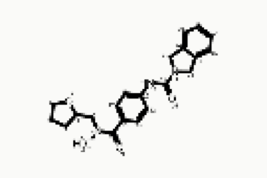 CN(CC1CCCO1)C(=O)c1ccc(NC(=O)N2Cc3ccccc3C2)cc1